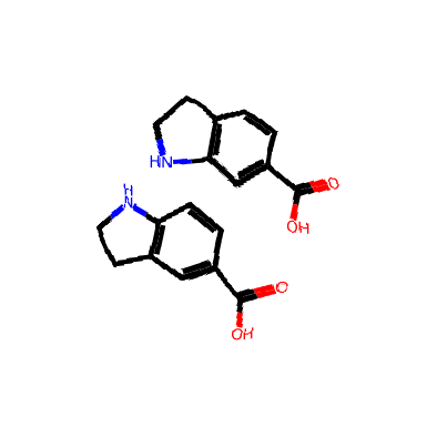 O=C(O)c1ccc2c(c1)CCN2.O=C(O)c1ccc2c(c1)NCC2